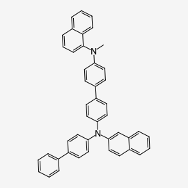 CN(c1ccc(-c2ccc(N(c3ccc(-c4ccccc4)cc3)c3ccc4ccccc4c3)cc2)cc1)c1cccc2ccccc12